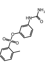 Cc1ccccc1S(=O)(=O)Oc1cccc(NC(N)=O)c1